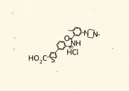 Cc1ccc(N2CCN(C)CC2)cc1C(=O)N[C@H](C)c1cccc(-c2csc(C(=O)O)c2)c1.Cl